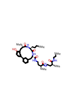 CNCCC[C@@H]1NC(=O)[C@@H](NC)Cc2cc(ccc2O)-c2cccc(c2)C[C@@H](C(=O)NCC[C@H](NC)C(=O)NCC[C@H](NC)C(=O)NCCNC)NC1=O